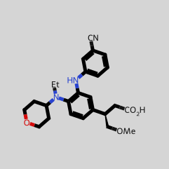 CCN(c1ccc([C@H](COC)CC(=O)O)cc1Nc1cccc(C#N)c1)C1CCOCC1